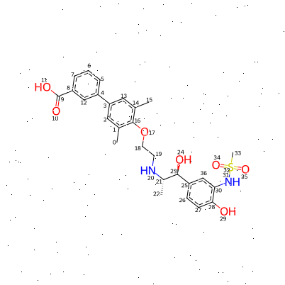 Cc1cc(-c2cccc(C(=O)O)c2)cc(C)c1OCCN[C@@H](C)[C@@H](O)c1ccc(O)c(NS(C)(=O)=O)c1